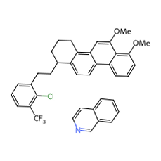 COc1cccc2c1c(OC)cc1c3c(ccc12)C(CCc1cccc(C(F)(F)F)c1Cl)CCC3.c1ccc2cnccc2c1